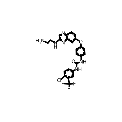 NCCNc1cnc2ccc(Oc3ccc(NC(=O)Nc4ccc(Cl)c(C(F)(F)F)c4)cc3)cc2n1